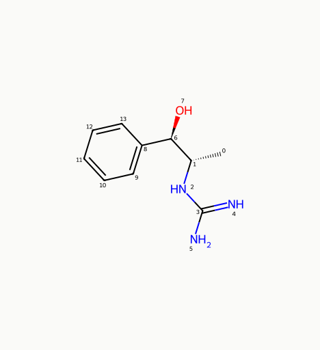 C[C@H](NC(=N)N)[C@H](O)c1ccccc1